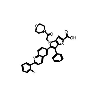 O=C(O)c1cc2c(s1)c(-c1ccccc1)c(-c1ccc3nc(-c4ccccc4F)ccc3c1)n2CC(=O)N1CCOCC1